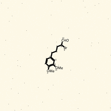 COc1ccc(CCCC(Br)C=O)cc1OC